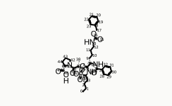 CCCCC(NC(=O)[C@H](CCCCNC(=O)OCc1ccccc1)NC(=O)c1ccccc1)P(=O)(O)O[C@@H](C)C(=O)N1CCC[C@H]1C(=O)O